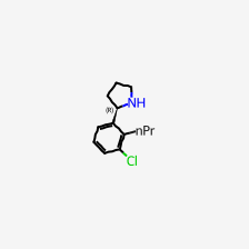 CCCc1c(Cl)cccc1[C@H]1CCCN1